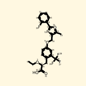 CCO[C@@H](Cc1ccc(OCc2nc(-c3ccccc3F)oc2C)cc1C(F)(F)F)C(=O)O